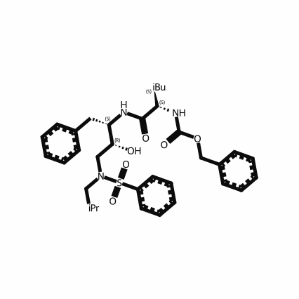 CC[C@H](C)[C@H](NC(=O)OCc1ccccc1)C(=O)N[C@@H](Cc1ccccc1)[C@H](O)CN(CC(C)C)S(=O)(=O)c1ccccc1